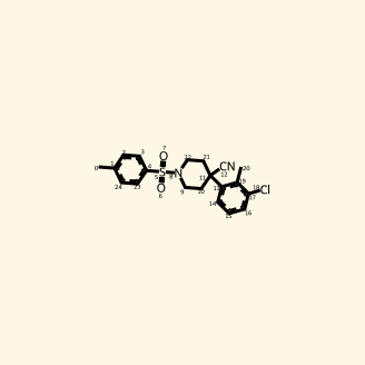 Cc1ccc(S(=O)(=O)N2CCC(C#N)(c3cccc(Cl)c3C)CC2)cc1